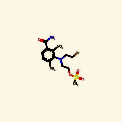 CS(=O)(=O)OCCN(CCBr)c1c([N+](=O)[O-])ccc(C(N)=O)c1[N+](=O)[O-]